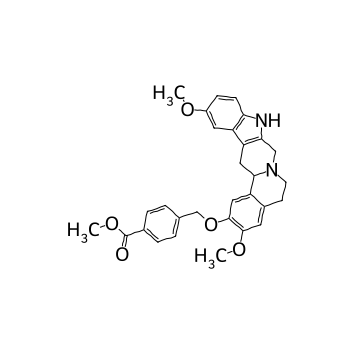 COC(=O)c1ccc(COc2cc3c(cc2OC)CCN2Cc4[nH]c5ccc(OC)cc5c4CC32)cc1